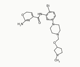 CCc1ccc(N2CCN(COC3CCN(C)C3)CC2)cc1NC(=O)C1=CCOC(N)=N1